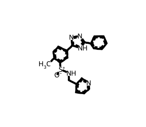 Cc1ccc(-c2nnc(-c3ccccc3)[nH]2)cc1[S+]([O-])NCc1cccnc1